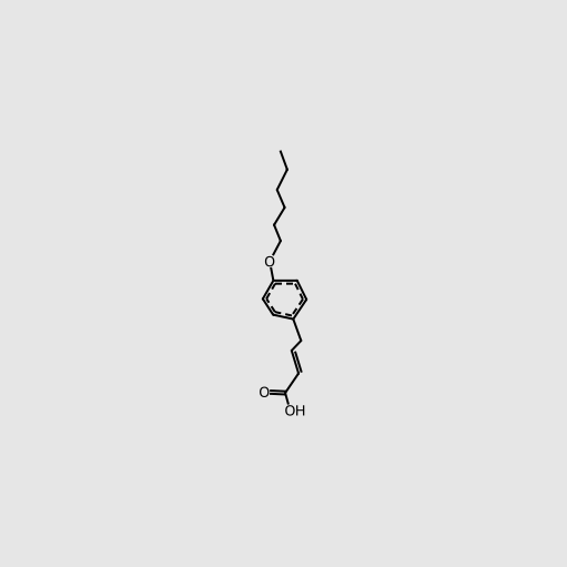 CCCCCCOc1ccc(C/C=C/C(=O)O)cc1